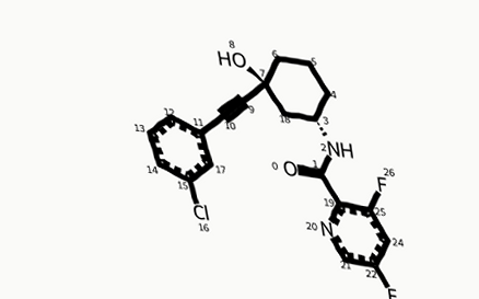 O=C(N[C@H]1CCC[C@@](O)(C#Cc2cccc(Cl)c2)C1)c1ncc(F)cc1F